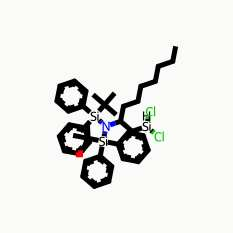 CCCCCCCC(C[SiH](Cl)Cl)N([Si](c1ccccc1)(c1ccccc1)C(C)(C)C)[Si](c1ccccc1)(c1ccccc1)C(C)(C)C